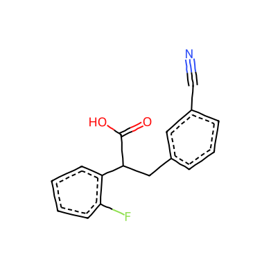 N#Cc1cccc(CC(C(=O)O)c2ccccc2F)c1